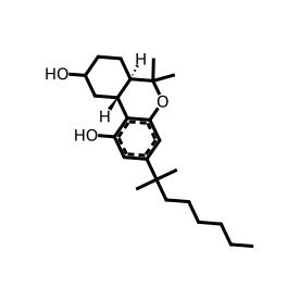 CCCCCCC(C)(C)c1cc(O)c2c(c1)OC(C)(C)[C@@H]1CCC(O)C[C@@H]21